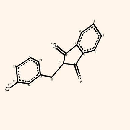 O=C1c2ccccc2C(=O)C1Cc1cccc(Cl)c1